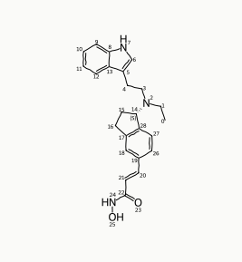 CCN(CCc1c[nH]c2ccccc12)[C@H]1CCc2cc(C=CC(=O)NO)ccc21